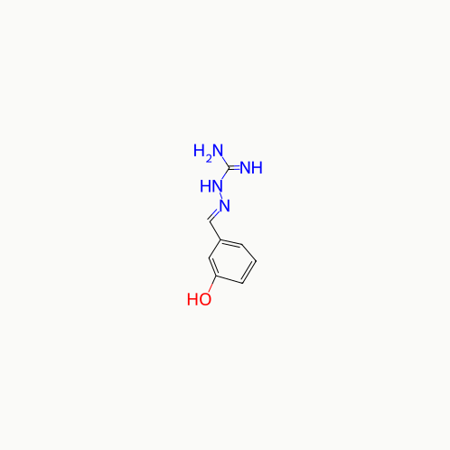 N=C(N)N/N=C/c1cccc(O)c1